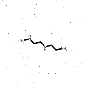 [CH2]CCCNCCNCCN